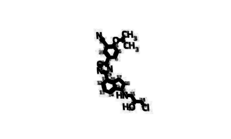 CC(C)Oc1ccc(-c2nc(-c3cccc4c3CC[C@H]4NCC(O)CCl)no2)cc1C#N